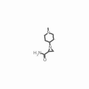 CN1C[CH][C](N2CC2C(N)=O)CC1